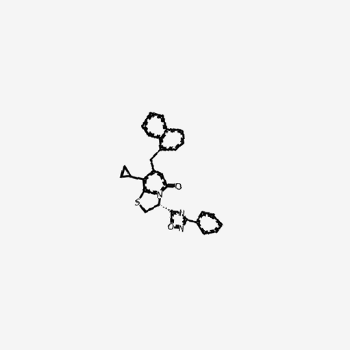 O=c1cc(Cc2cccc3ccccc23)c(C2CC2)c2n1[C@H](c1nc(-c3ccccc3)no1)CS2